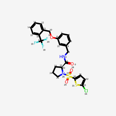 O=C(NCc1cccc(OCc2ccccc2C(F)(F)F)c1)[C@@H]1CCCN1S(=O)(=O)c1ccc(Cl)s1